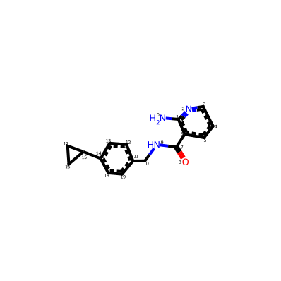 Nc1ncccc1C(=O)NCc1ccc(C2CC2)cc1